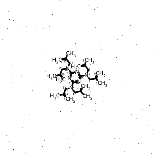 C=C(C)CN(CC(=C)C)c1nc(N(CC(=C)C)CC(=C)C)nc(N(CC(=C)C)CC(=C)C)n1